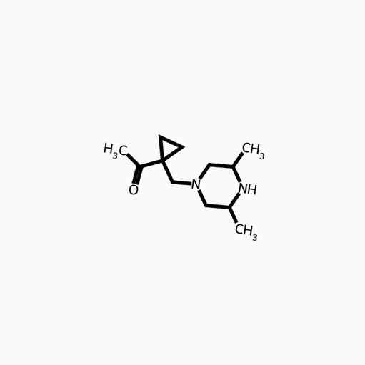 CC(=O)C1(CN2CC(C)NC(C)C2)CC1